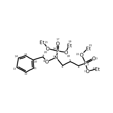 CCOP(=O)(CCCN(OCc1ccccc1)P(=O)(OCC)OCC)OCC